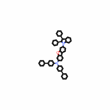 c1ccc(-c2ccc(N(c3ccc(-c4ccccc4)cc3)c3ccc4c(c3)oc3cc(-n5c(-c6ccccc6)c(-c6ccccc6)c6ccccc65)ccc34)cc2)cc1